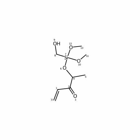 C=CC(=O)C(C)O[Si](CO)(OC)OC